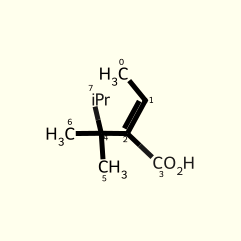 CC=C(C(=O)O)C(C)(C)C(C)C